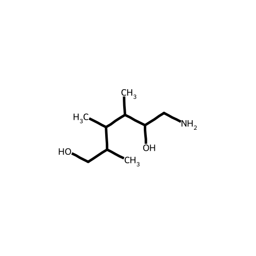 CC(CO)C(C)C(C)C(O)CN